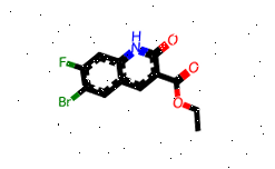 CCOC(=O)c1cc2cc(Br)c(F)cc2[nH]c1=O